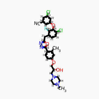 Cc1cc(OC[C@H](O)CN2CCN(C)CC2)ccc1-c1nnc(Cc2ccc(Cl)c(Oc3cc(Cl)cc(C#N)c3)c2F)o1